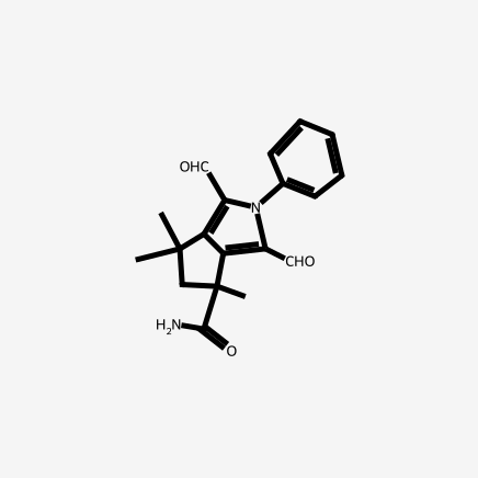 CC1(C)CC(C)(C(N)=O)c2c1c(C=O)n(-c1ccccc1)c2C=O